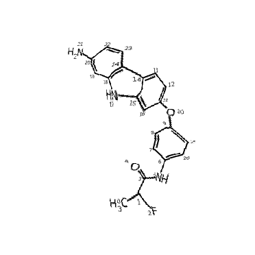 CC(F)C(=O)Nc1ccc(Oc2ccc3c(c2)[nH]c2cc(N)ccc23)cc1